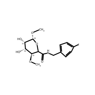 CO[C@@H]1OC(C(=O)NCc2ccc(I)cc2)[C@@H](OC)[C@H](O)[C@@H]1O